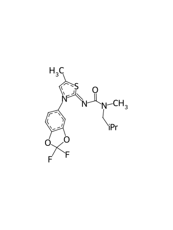 Cc1cn(-c2ccc3c(c2)OC(F)(F)O3)c(=NC(=O)N(C)CC(C)C)s1